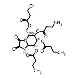 CCCC(=O)OC[C@@H]1[C@@H](OC(=O)CCC)[C@H](OC(=O)CCC)[C@H](OC(=O)CCC)C2NC(=O)C(=O)N21